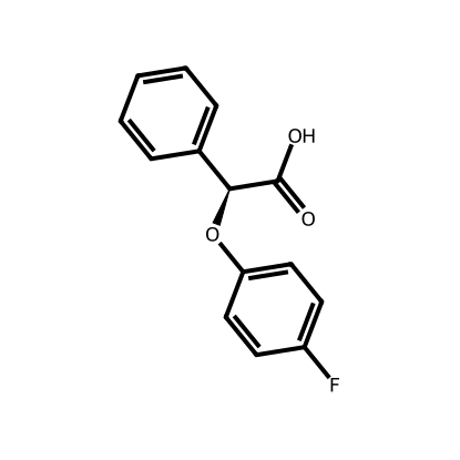 O=C(O)[C@@H](Oc1ccc(F)cc1)c1ccccc1